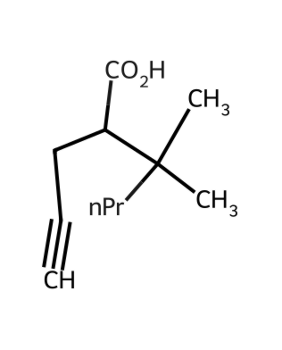 C#CCC(C(=O)O)C(C)(C)CCC